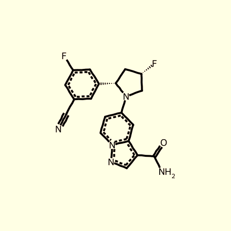 N#Cc1cc(F)cc([C@@H]2C[C@H](F)CN2c2ccn3ncc(C(N)=O)c3c2)c1